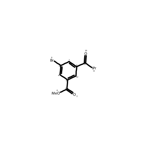 COC(=O)c1cc(Br)cc(C(=O)C(C)C)c1